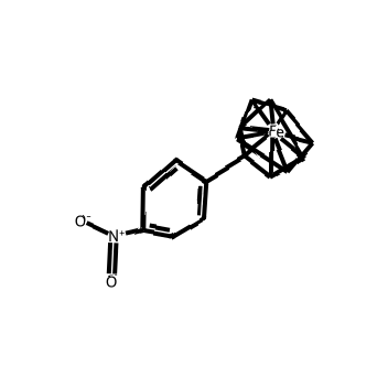 O=[N+]([O-])c1ccc([C]23[CH]4[CH]5[CH]6[CH]2[Fe]56432789[CH]3[CH]2[CH]7[CH]8[CH]39)cc1